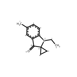 CCN1c2ccc(C)cc2C(=O)C12CC2